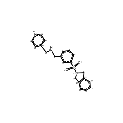 O=S(=O)(c1cccc(CNCc2ccncc2)c1)N1Cc2ccccc2C1